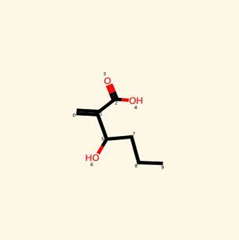 C=C(C(=O)O)C(O)CCC